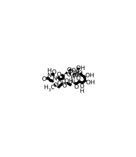 COCCOCCNC(=O)C1OC(OP(=O)(O)OP(=O)(O)OC[C@H]2O[C@@H](n3ccc(=O)[nH]c3=O)C(O)[C@H]2O)C(O)[C@@H](O)[C@H]1O